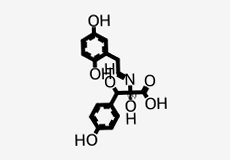 O=C(O)[C@@](O)(N=CCc1cc(O)ccc1O)C(O)c1ccc(O)cc1